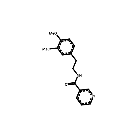 COc1ccc(CCNC(=O)c2cccnc2)cc1OC